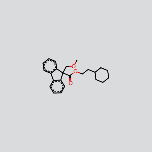 COCC1(C(=O)OCCC2CCCCC2)c2ccccc2-c2ccccc21